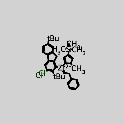 CC1C=C([Si](C)(C)C)C=[C]1[Zr+2](=[CH]Cc1ccccc1)[c]1c(C(C)(C)C)ccc2c1Cc1cc(C(C)(C)C)ccc1-2.[Cl-].[Cl-]